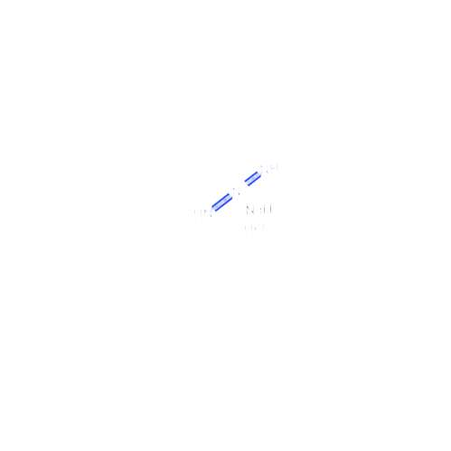 Cl.N=[N+]=N.[NaH]